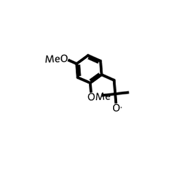 COc1ccc(CC(C)(C)[O])c(OC)c1